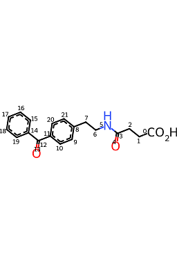 O=C(O)CCC(=O)NCCc1ccc(C(=O)c2ccccc2)cc1